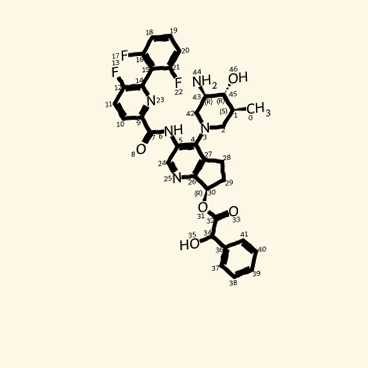 C[C@H]1CN(c2c(NC(=O)c3ccc(F)c(-c4c(F)cccc4F)n3)cnc3c2CC[C@H]3OC(=O)C(O)c2ccccc2)C[C@@H](N)[C@@H]1O